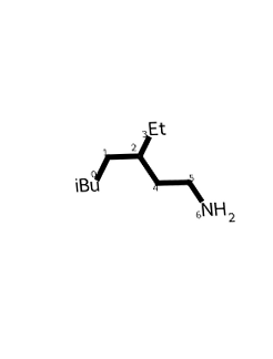 CCC(C)CC(CC)CCN